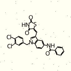 O=C1NC(=O)C(=Cc2cn(Cc3ccc(Cl)c(Cl)c3)c3ccc(NC(=O)c4ccccc4)cc23)S1